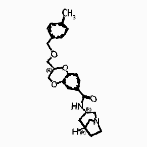 Cc1ccc(COC[C@@H]2COc3cc(C(=O)N[C@@H]4C[C@H]5CCN(C5)C4)ccc3O2)cc1